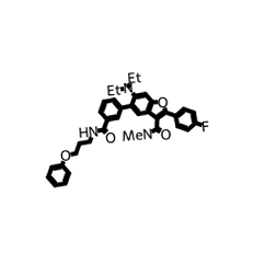 CCN(CC)c1cc2oc(-c3ccc(F)cc3)c(C(=O)NC)c2cc1-c1cccc(C(=O)NCCCOc2ccccc2)c1